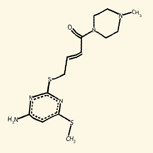 CSc1cc(N)nc(SCC=CC(=O)N2CCN(C)CC2)n1